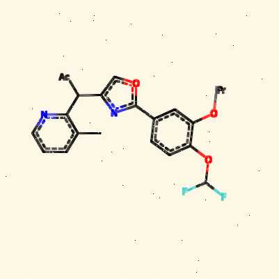 CC(=O)C(c1coc(-c2ccc(OC(F)F)c(OC(C)C)c2)n1)c1ncccc1C